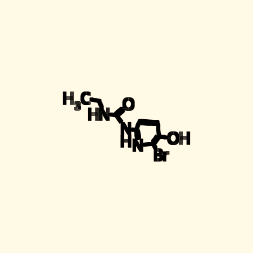 CCNC(=O)Nc1ccc(O)c(Br)n1